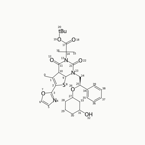 CC1=C(c2ncco2)SC2C1C(=O)N(C(C)(C)C(=O)OC(C)(C)C)C(=O)N2C[C@H](OC1CCCC(O)C1)c1ccccc1